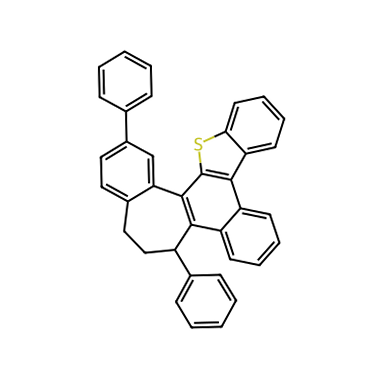 c1ccc(-c2ccc3c(c2)-c2c(c4ccccc4c4c2sc2ccccc24)C(c2ccccc2)CC3)cc1